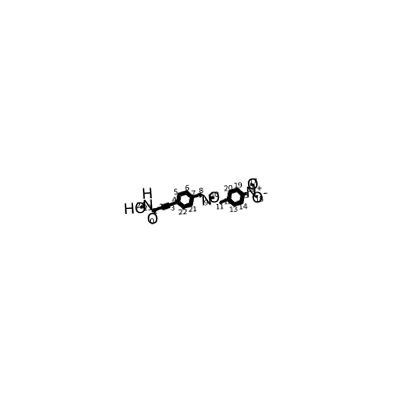 O=C(C#Cc1ccc(C=NOCc2ccc([N+](=O)[O-])cc2)cc1)NO